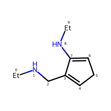 CCNCC1=CCC=C1NCC